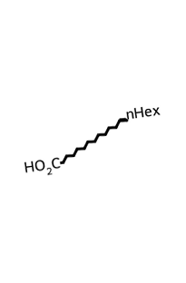 CCCCCCC=CCCCCCCCCCCCC(=O)O